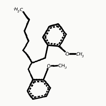 [CH2]CCCC[C](Cc1ccccc1OC)Cc1ccccc1OC